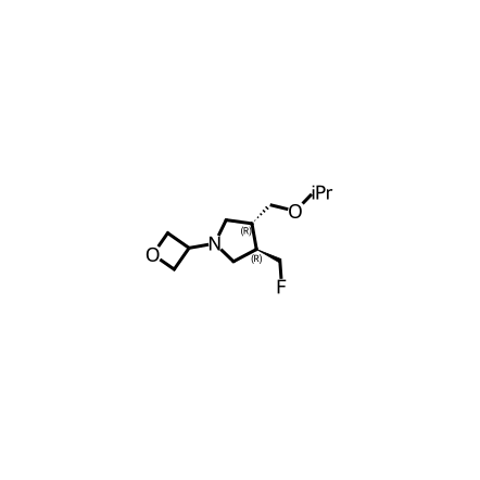 CC(C)OC[C@H]1CN(C2COC2)C[C@@H]1CF